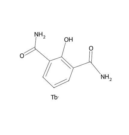 NC(=O)c1cccc(C(N)=O)c1O.[Tb]